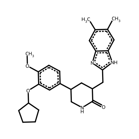 COc1ccc(C2CNC(=O)C(Cc3nc4cc(C)c(C)cc4[nH]3)C2)cc1OC1CCCC1